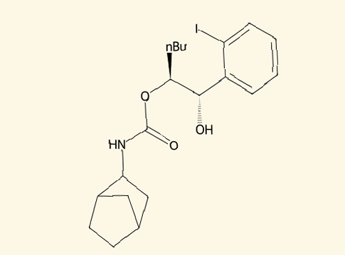 CCCC[C@H](OC(=O)NC1CC2CCC1C2)[C@@H](O)c1ccccc1I